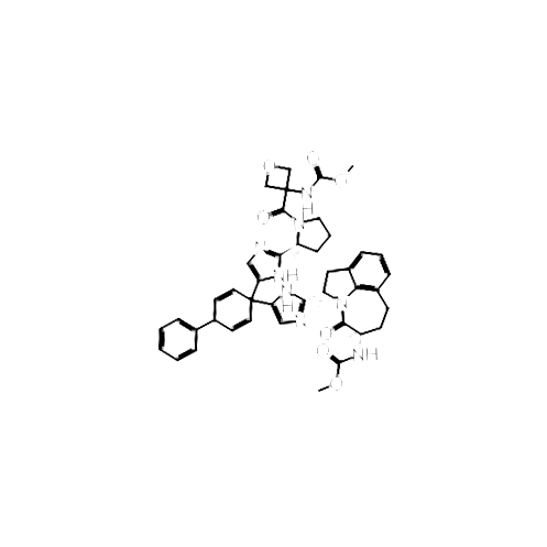 COC(=O)N[C@H]1CCc2cccc3c2N(C1=O)[C@H](c1ncc(C2(c4cnc([C@@H]5CCCN5C(=O)C5(NC(=O)OC)COC5)[nH]4)C=CC(c4ccccc4)C=C2)[nH]1)C3